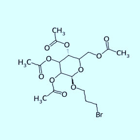 CC(=O)OCC1O[C@@H](OCCCBr)C(OC(C)=O)C(OC(C)=O)[C@@H]1OC(C)=O